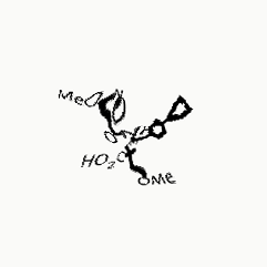 COCCC(C)(C[C@@H](Cc1ccc(-c2ccccc2)cc1)NC(=O)c1cc(OC)no1)C(=O)O